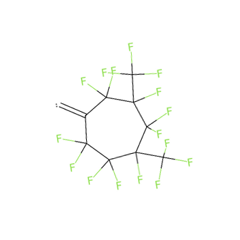 [C]=C1C(F)(F)C(F)(F)C(F)(C(F)(F)F)C(F)(F)C(F)(C(F)(F)F)C1(F)F